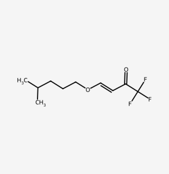 CC(C)CCCO/C=C/C(=O)C(F)(F)F